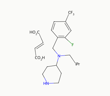 CC(C)CN(Cc1ccc(C(F)(F)F)cc1F)C1CCNCC1.O=C(O)/C=C/C(=O)O